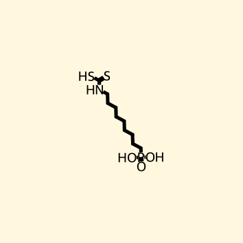 O=P(O)(O)CCCCCCCCCNC(=S)S